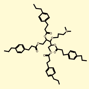 CCCc1ccc(CCC(=O)OCC(OC(=O)CCc2ccc(CCC)cc2)C(OCCCN(C)C)C(COC(=O)CCc2ccc(CCC)cc2)OC(=O)CCc2ccc(CCC)cc2)cc1